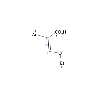 CCO/C=C(/C(C)=O)C(=O)O